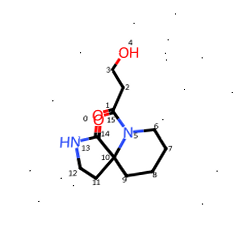 O=C(CCO)N1CCCCC12CCNC2=O